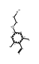 C=Cc1c(C)cc(OCCF)cc1C